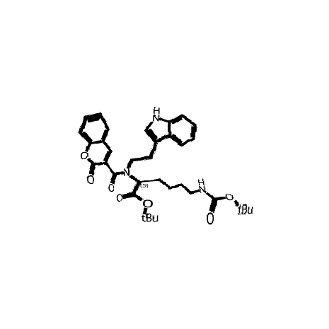 CC(C)(C)OC(=O)NCCCC[C@@H](C(=O)OC(C)(C)C)N(CCc1c[nH]c2ccccc12)C(=O)c1cc2ccccc2oc1=O